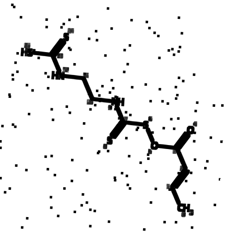 CC=CC(=O)OSC(=S)NCCNC(=S)S